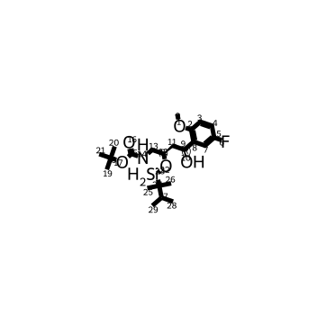 COc1ccc(F)cc1[C@H](O)C[C@H](CNC(=O)OC(C)(C)C)O[SiH2]C(C)(C)C(C)C